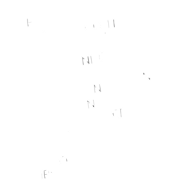 CC(C)Oc1cccc(-c2cc(Nc3ccc(F)cc3C(=O)O)n(-c3c(Cl)cncc3Cl)n2)c1